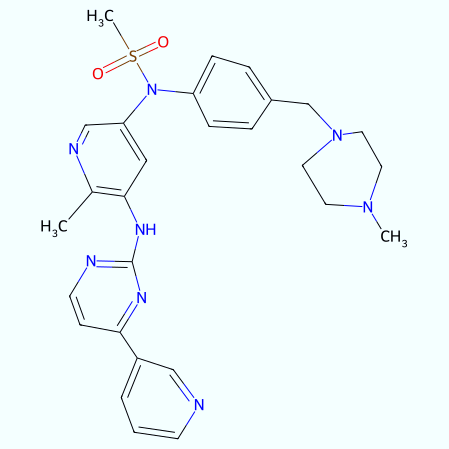 Cc1ncc(N(c2ccc(CN3CCN(C)CC3)cc2)S(C)(=O)=O)cc1Nc1nccc(-c2cccnc2)n1